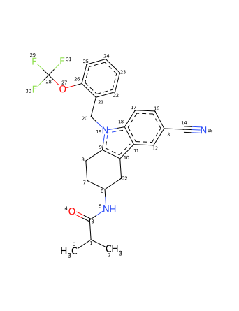 CC(C)C(=O)NC1CCc2c(c3cc(C#N)ccc3n2Cc2ccccc2OC(F)(F)F)C1